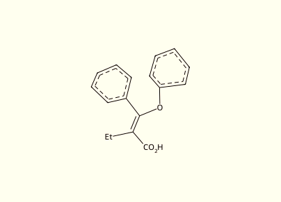 CC/C(C(=O)O)=C(/Oc1ccccc1)c1ccccc1